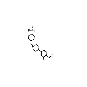 Cc1cc(C2CCN(C[C@H]3CC[C@@H](C(F)(F)F)CC3)CC2)ccc1C=O